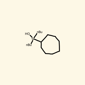 CCCC[Si](O)(CCCC)C1CCCCCCC1